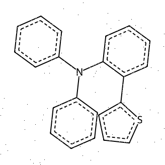 c1ccc(N(c2ccccc2)c2ccccc2-c2cccs2)cc1